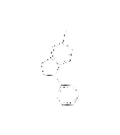 Nc1ccc2c(c1)CCN2c1ncccn1